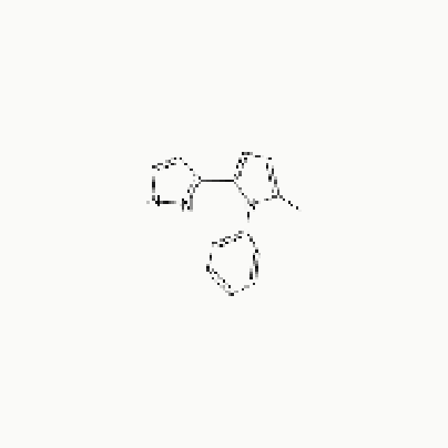 Cc1ccc(C2=N[N]C=C2)n1-c1ccccc1